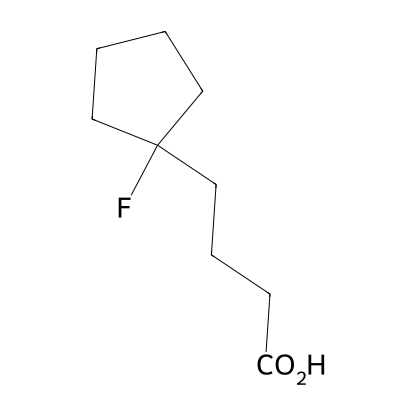 O=C(O)CCCC1(F)CCCC1